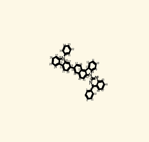 c1ccc(-c2nc(-n3c4ccccc4c4c5ccc(-c6ccc7c8ccccc8n(-c8ccccc8)c7c6)cc5ccc43)nc3ccccc23)cc1